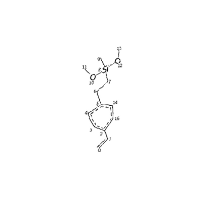 C=Cc1ccc(CC[Si](C)(OC)OC)cc1